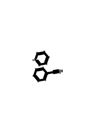 C#Cc1ccccc1.c1ccncc1